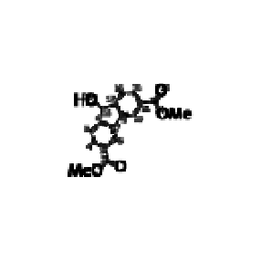 COC(=O)c1ccc2c(c1)-c1cc(C(=O)OC)ccc1C2O